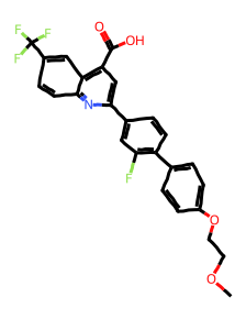 COCCOc1ccc(-c2ccc(-c3cc(C(=O)O)c4cc(C(F)(F)F)ccc4n3)cc2F)cc1